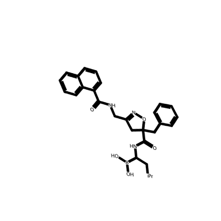 CC(C)CC(NC(=O)C1(Cc2ccccc2)CC(CNC(=O)c2cccc3ccccc23)=NO1)B(O)O